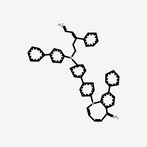 C=C/C=C(\CCN(c1ccc(-c2ccccc2)cc1)c1ccc(-c2ccc(N3/C=C\C=C/C(=C)c4ccc(-c5ccccc5)cc43)cc2)cc1)c1ccccc1